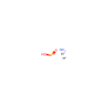 N.O=PO.[H+].[H+]